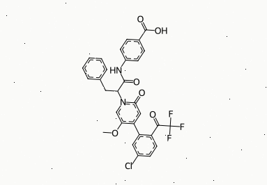 COc1cn(C(Cc2ccccc2)C(=O)Nc2ccc(C(=O)O)cc2)c(=O)cc1-c1cc(Cl)ccc1C(=O)C(F)(F)F